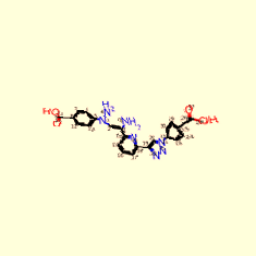 N/C(=C\N(N)c1ccc(C(=O)O)cc1)c1cccc(-c2cn(-c3ccc(C(=O)O)cc3)nn2)n1